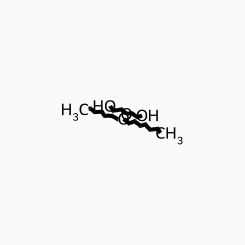 CCCCCCCOCCCCCCC.OCCOCCO